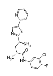 C[C@H](C[C@H](N)c1ncc(-c2ccccn2)s1)C(=O)Nc1ccc(F)c(Cl)c1